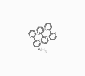 [AlH3].c1ccc(-c2ccccn2)nc1.c1ccc(-c2ccccn2)nc1.c1ccc(-c2ccccn2)nc1